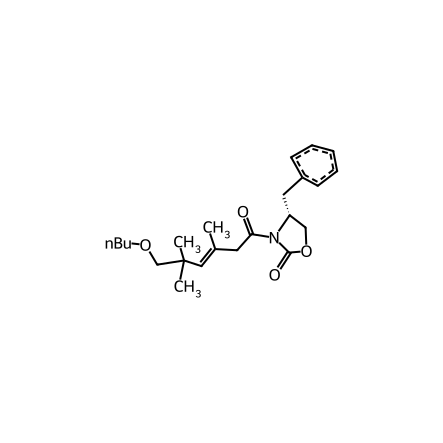 CCCCOCC(C)(C)/C=C(\C)CC(=O)N1C(=O)OC[C@H]1Cc1ccccc1